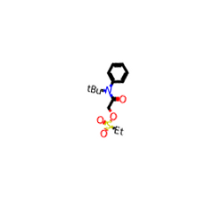 CCS(=O)(=O)OCC(=O)N(c1ccccc1)C(C)(C)C